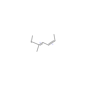 C/C=C\C=C(/C)SC